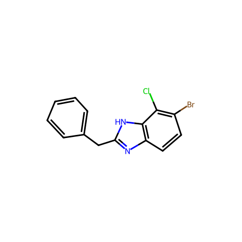 Clc1c(Br)ccc2nc(Cc3ccccc3)[nH]c12